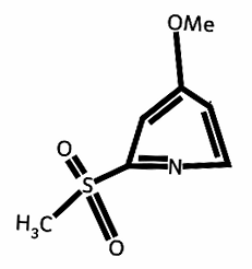 COc1[c]cnc(S(C)(=O)=O)c1